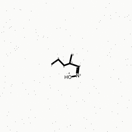 [CH2]C(/C=N\O)CCC